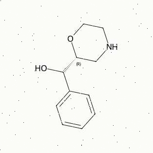 OC(c1ccccc1)[C@H]1CNCCO1